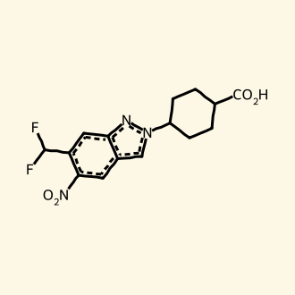 O=C(O)C1CCC(n2cc3cc([N+](=O)[O-])c(C(F)F)cc3n2)CC1